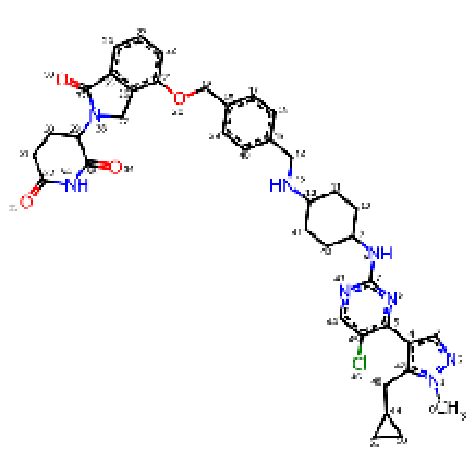 Cn1ncc(-c2nc(NC3CCC(NCc4ccc(COc5cccc6c5CN(C5CCC(=O)NC5=O)C6=O)cc4)CC3)ncc2Cl)c1CC1CC1